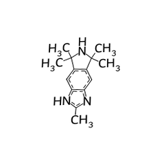 Cc1nc2cc3c(cc2[nH]1)C(C)(C)NC3(C)C